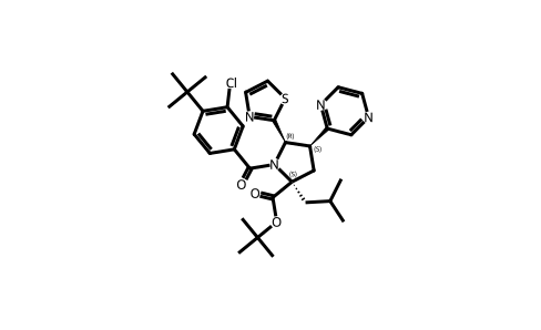 CC(C)C[C@@]1(C(=O)OC(C)(C)C)C[C@H](c2cnccn2)[C@H](c2nccs2)N1C(=O)c1ccc(C(C)(C)C)c(Cl)c1